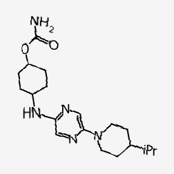 CC(C)C1CCN(c2cnc(NC3CCC(OC(N)=O)CC3)cn2)CC1